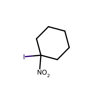 O=[N+]([O-])C1(I)CCCCC1